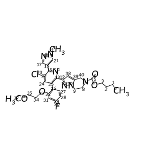 CCCCOC(=O)N1CCn2nc(-c3nc(-c4cnn(C)c4)c(Cl)cc3-c3ccc(F)cc3OCCOC)cc2C1